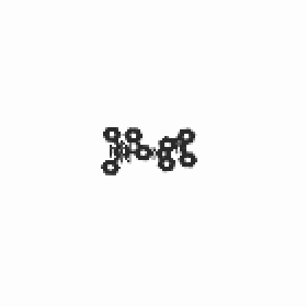 c1ccc(-c2nc(-c3ccccc3)nc(-c3ccc(-n4c5ccccc5c5c4ccc4c6ccccc6n(-c6ccccc6)c45)cc3-c3ccccc3)n2)cc1